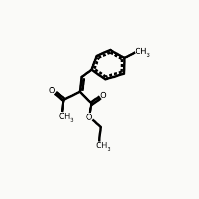 CCOC(=O)/C(=C\c1ccc(C)cc1)C(C)=O